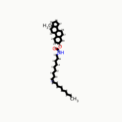 CCCCCCCC/C=C\CCCCCCCCNC(=O)O[C@@H]1CCC2C(CCC3C2CC[C@]2(C)CCCC32)C1